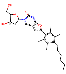 CCCCCCc1c(C)c(C)c(-c2cc3cn(C4C[C@@H](O)C(CO)O4)c(=O)nc3o2)c(C)c1C